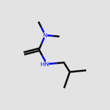 C=C(NCC(C)C)N(C)C